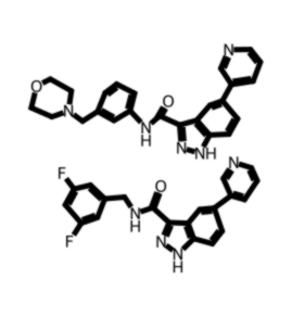 O=C(NCc1cc(F)cc(F)c1)c1n[nH]c2ccc(-c3cccnc3)cc12.O=C(Nc1cccc(CN2CCOCC2)c1)c1n[nH]c2ccc(-c3cccnc3)cc12